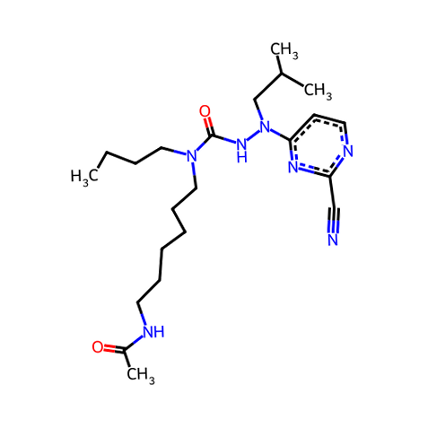 CCCCN(CCCCCCNC(C)=O)C(=O)NN(CC(C)C)c1ccnc(C#N)n1